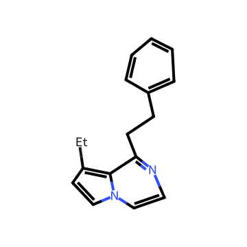 CCc1ccn2ccnc(CCc3ccccc3)c12